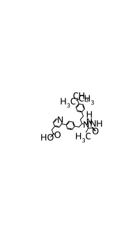 CCC1C(=O)NNN1C(CCc1ccc(C(C)(C)C)cc1)Cc1ccc(-c2cc(CC(=O)O)ccn2)cc1